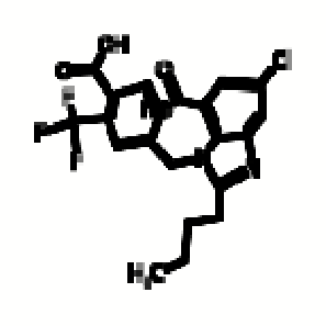 CCCCc1nc2cc(Cl)cc(C(=O)O)c2n1Cc1ccc(C(=O)O)c(C(F)(F)F)c1